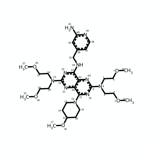 COCCN(CCOC)c1nc(N2CCC(OC)CC2)c2nc(N(CCOC)CCOC)nc(NCc3ccnc(N)c3)c2n1